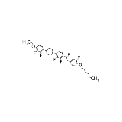 CCCCCCOc1ccc(CC(F)c2ccc(C3=CCC(c4ccc(OCC)c(F)c4F)CC3)c(F)c2F)cc1F